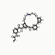 C=CC(=O)Nc1ccnc(C(=O)Nc2cc3cc(c2)Nc2nccc(n2)-c2cccc(c2)OCC/C=C/COC3)c1